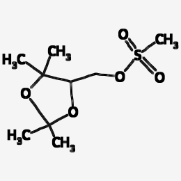 CC1(C)OC(COS(C)(=O)=O)C(C)(C)O1